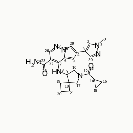 Cn1cc(-c2cc3c(NC4CN(C(=O)C5CC5)CC45CCC5)c(C(N)=O)cnn3c2)cn1